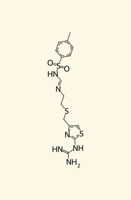 Cc1ccc(S(=O)(=O)NC=NCCSCc2csc(NC(=N)N)n2)cc1